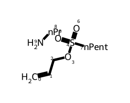 C=CCOS(=O)(=O)CCCCC.CCCN